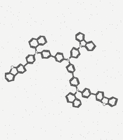 c1ccc2c(N(c3ccc(-c4ccc(N(c5ccc(-c6ccc(N(c7ccc(-c8ccc9c(c8)oc8ccccc89)cc7)c7cccc8ccccc78)cc6)cc5)c5ccc(-n6c7ccccc7c7ccccc76)cc5)cc4)cc3)c3ccc(-c4ccc5c(c4)oc4ccccc45)cc3)cccc2c1